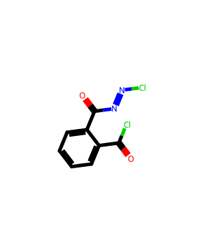 O=C(Cl)c1ccccc1C(=O)N=NCl